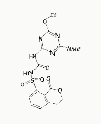 CCOc1nc(NC)nc(NC(=O)NS(=O)(=O)c2cccc3c2C(=O)OCC3)n1